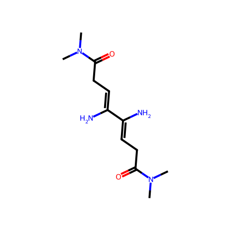 CN(C)C(=O)CC=C(N)C(N)=CCC(=O)N(C)C